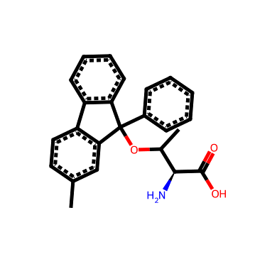 Cc1ccc2c(c1)C(OC(C)[C@H](N)C(=O)O)(c1ccccc1)c1ccccc1-2